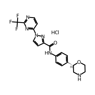 Cl.O=C(Nc1ccc([C@H]2CNCCO2)cc1)c1ccn(-c2ccnc(C(F)(F)F)n2)n1